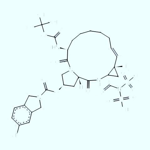 CC(C)(C)OC(=O)N[C@H]1CCCCC/C=C/[C@@H]2C[C@@]2(C(=O)N(S(C)(=O)=O)S(C)(=O)=O)NC(=O)[C@@H]2C[C@@H](OC(=O)N3Cc4ccc(F)cc4C3)CN2C1=O